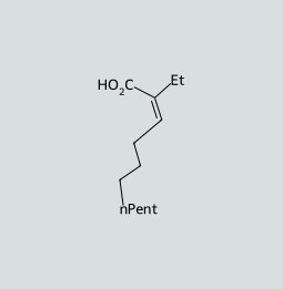 CCCCCCCCC=C(CC)C(=O)O